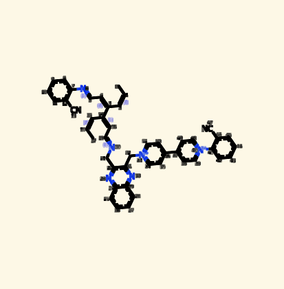 C\C=C/C(=C/C=N/c1ccccc1C#N)C(/C=C\C)=C/C=N/Cc1nc2ccccc2nc1C[n+]1ccc(-c2cc[n+](-c3ccccc3C#N)cc2)cc1